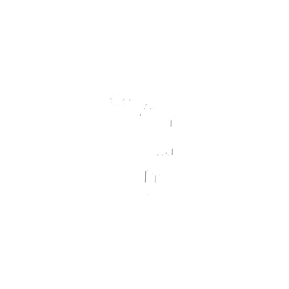 [Ce].[La].[Pr].[Y].[Zr]